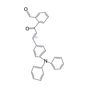 O=Cc1ccccc1C(=O)/C=C/c1ccc(N(c2ccccc2)c2ccccc2)cc1